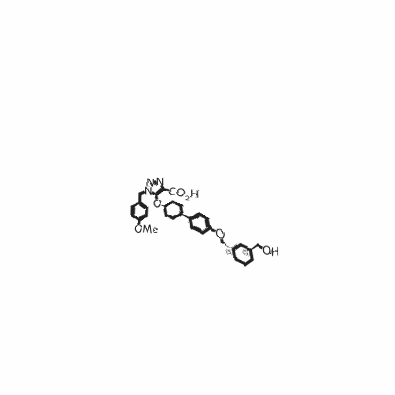 COc1ccc(Cn2nnc(C(=O)O)c2O[C@H]2CC[C@H](c3ccc(OC[C@H]4CCC[C@H](CO)C4)cc3)CC2)cc1